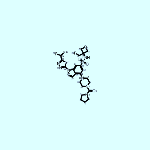 O=C(N1CCCC1)N1CCN(c2cc(S(=O)(=O)NC3(CF)COC3)cc3c2cnn3-c2nnc(C(F)F)s2)CC1